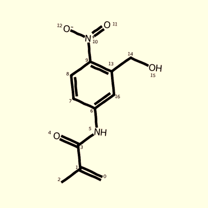 C=C(C)C(=O)Nc1ccc([N+](=O)[O-])c(CO)c1